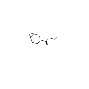 O=C(OCC(Cl)(Cl)Cl)N1CCC2OC2C1